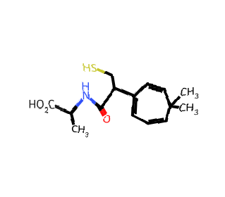 CC(NC(=O)C(CS)C1=CC=CC(C)(C)C=C1)C(=O)O